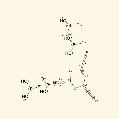 OB(O)F.OB(O)F.OB(O)F.OB(O)F.[N-]=[N+]=C1CC(=[N+]=[N-])CC(C(=O)O)C1